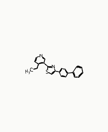 CCc1ccncc1-c1nc(-c2ccc(-c3ccccc3)cc2)cs1